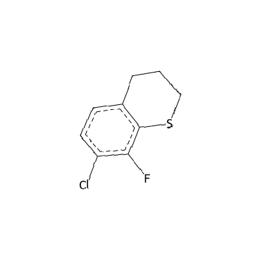 Fc1c(Cl)ccc2c1SCCC2